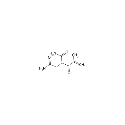 C=C(C)C(=O)C(CC(N)=O)C(N)=O